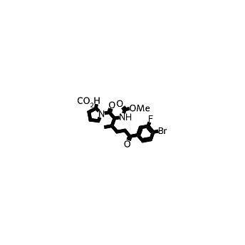 COC(=O)NC(C(=O)N1CCCC1C(=O)O)C(C)CCC(=O)c1ccc(Br)c(F)c1